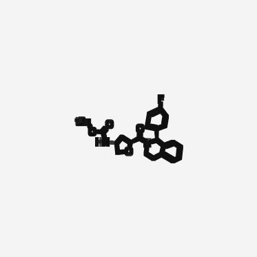 CC(C)(C)OC(=O)N[C@H]1CO[C@H](C(=O)N2CCc3ccccc3[C@@H]2c2ccc(F)cc2)C1